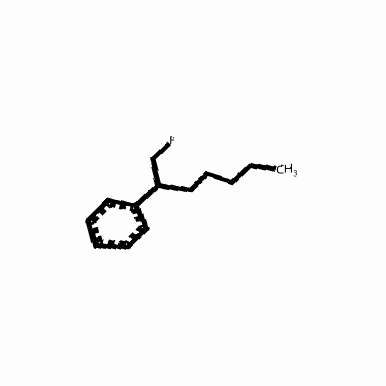 CCCCCC(CF)c1ccccc1